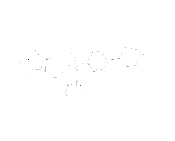 CC1(C)NC(=O)N(CC(CS(=O)(=O)c2ccc(-c3ccc(Cl)cc3)cc2)C(=O)NO)C1=O